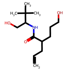 C=CCC(CCCO)C(=O)NC(CO)C(C)(C)C